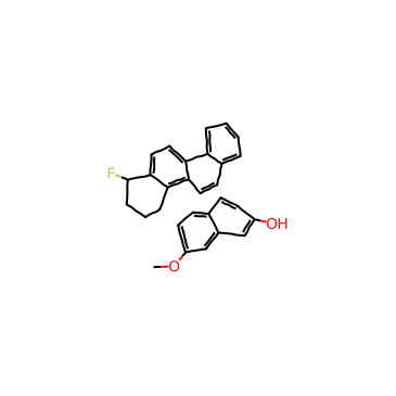 COc1ccc2ccc(O)cc2c1.FC1CCCc2c1ccc1c2ccc2ccccc21